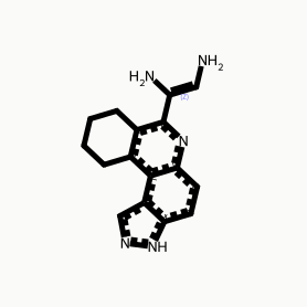 N/C=C(\N)c1nc2ccc3[nH]ncc3c2c2c1CCCC2